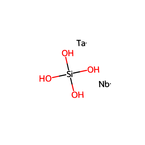 O[Si](O)(O)O.[Nb].[Ta]